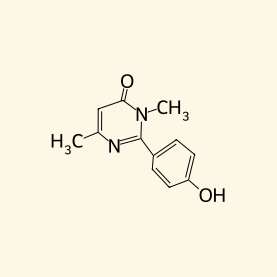 Cc1cc(=O)n(C)c(-c2ccc(O)cc2)n1